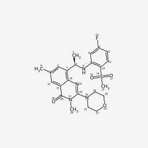 Cc1cc([C@@H](C)Nc2cc(F)ccc2S(C)(=O)=O)c2nc(N3CCOCC3)n(C)c(=O)c2c1